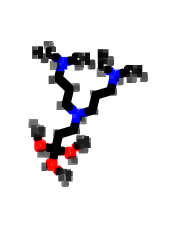 CCO[Si](CCN(CCCN(C)C)CCCN(C)C)(OCC)OCC